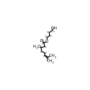 CC(C)=CCCC(C)CC(=O)OCCCCO